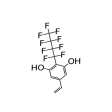 C=Cc1cc(O)c(C(F)(F)C(F)(F)C(F)(F)C(F)(F)F)c(O)c1